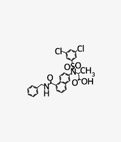 CC(C(=O)O)N(c1ccc2c(C(=O)NCc3ccccc3)cccc2c1)S(=O)(=O)c1cc(Cl)cc(Cl)c1